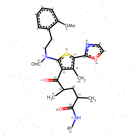 COc1ccccc1CCN(C=O)c1sc(-c2ncco2)c(C)c1C(=O)C(C)CC(C)C(=O)NC(C)C